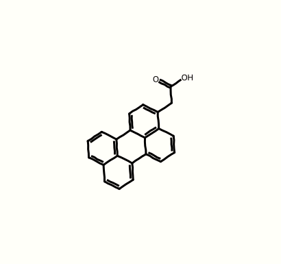 O=C(O)Cc1ccc2c3cccc4cccc(c5cccc1c52)c43